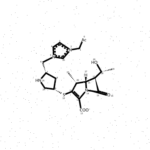 CC(=O)Cn1cc[n+](C[C@@H]2C[C@H](SC3=C(C(=O)[O-])N4C(=O)[C@H]([C@@H](C)O)[C@H]4[C@H]3C)CN2)c1